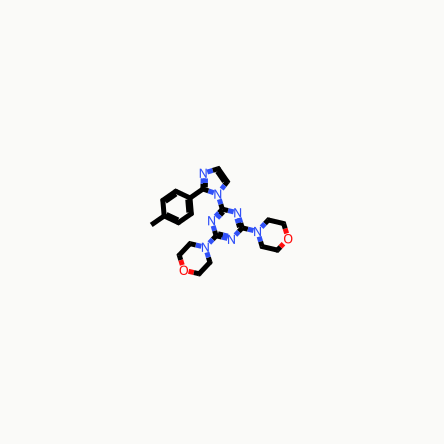 Cc1ccc(-c2nccn2-c2nc(N3CCOCC3)nc(N3CCOCC3)n2)cc1